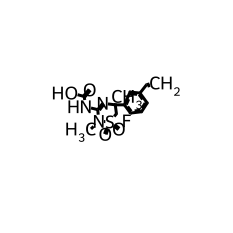 C=Cc1ccc(F)c(C2(C)CS(=O)(=O)N(C)C(NC(=O)O)=N2)c1